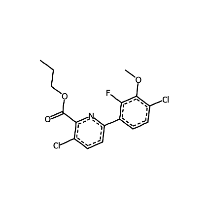 CCCOC(=O)c1nc(-c2ccc(Cl)c(OC)c2F)ccc1Cl